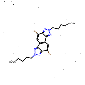 CCCCCCCCCCCCCCn1nc2c(Br)cc3c(cc(Br)c4nn(CCCCCCCCCCCCCC)nc43)c2n1